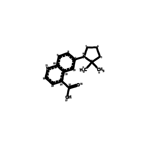 CC1(C)CCCN1c1ccc2nccc(C(=O)O)c2c1